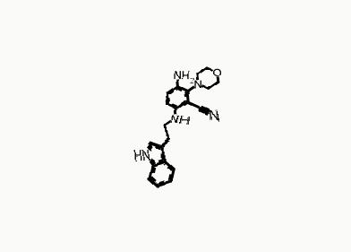 N#Cc1c(NCCc2c[nH]c3ccccc23)ccc(N)c1N1CCOCC1